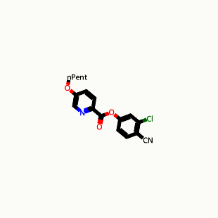 CCCCCOc1ccc(C(=O)Oc2ccc(C#N)c(Cl)c2)nc1